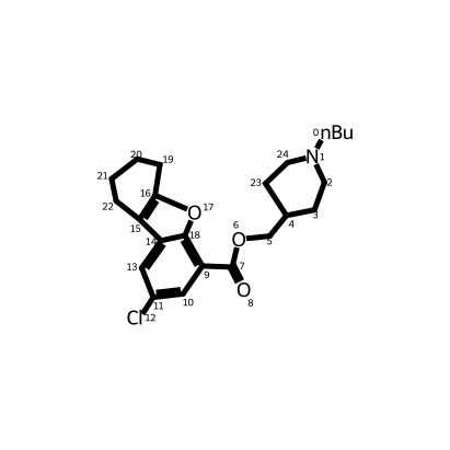 CCCCN1CCC(COC(=O)c2cc(Cl)cc3c4c(oc23)CCCC4)CC1